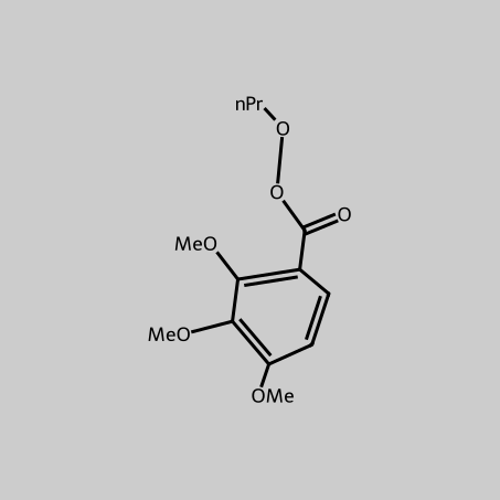 [CH2]CCOOC(=O)c1ccc(OC)c(OC)c1OC